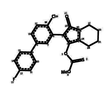 COC(=S)Oc1c(-c2cc(-c3ccc(F)cc3)ccc2Cl)c(=O)n2n1CCCC2